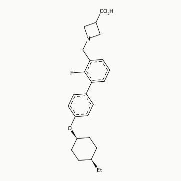 CC[C@H]1CC[C@@H](Oc2ccc(-c3cccc(CN4CC(C(=O)O)C4)c3F)cc2)CC1